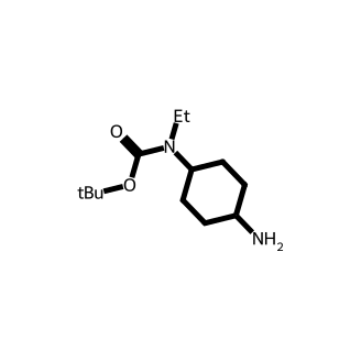 CCN(C(=O)OC(C)(C)C)C1CCC(N)CC1